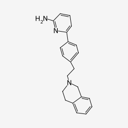 Nc1cccc(-c2ccc(CCN3CCc4ccccc4C3)cc2)n1